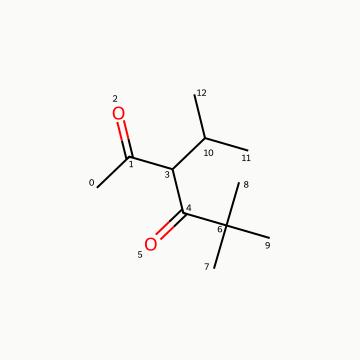 CC(=O)C(C(=O)C(C)(C)C)C(C)C